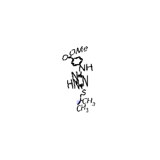 C/C=C(\C)CSc1nc(Nc2ccc(C(=O)OC)cc2)n[nH]1